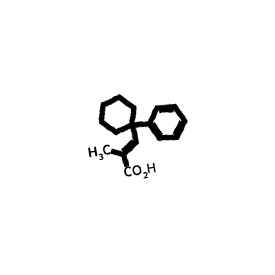 CC(=CC1(c2ccccc2)CCCCC1)C(=O)O